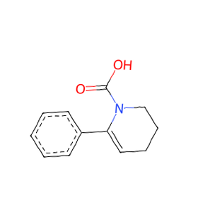 O=C(O)N1CCCC=C1c1ccccc1